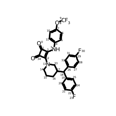 O=c1c(Nc2ccc(OC(F)(F)F)cc2)c(N2CCCC(C(c3ccc(F)cc3)c3ccc(F)cc3)C2)c1=O